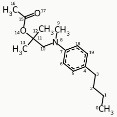 CCCCc1ccc(N(C)CC(C)(C)OC(C)=O)cc1